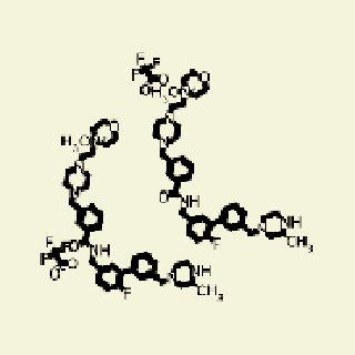 C[C@H]1CN(Cc2cccc(-c3cc(CNC(=O)c4cccc(CN5CCN(CC[N+]6(C)CCOCC6)CC5)c4)ccc3F)c2)CCN1.C[C@H]1CN(Cc2cccc(-c3cc(CNC(=O)c4cccc(CN5CCN(CC[N+]6(C)CCOCC6)CC5)c4)ccc3F)c2)CCN1.O=C([O-])C(F)(F)F.O=C([O-])C(F)(F)F